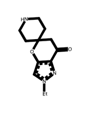 CCn1cc2c(n1)C(=O)CC1(CCNCC1)O2